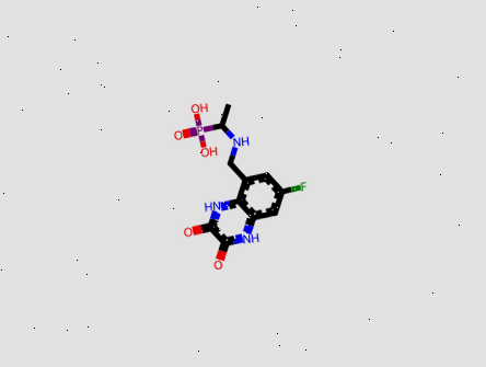 CC(NCc1cc(F)cc2[nH]c(=O)c(=O)[nH]c12)P(=O)(O)O